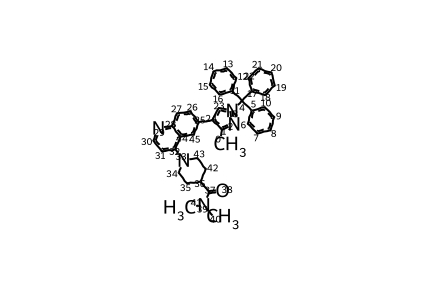 Cc1nn(C(c2ccccc2)(c2ccccc2)c2ccccc2)cc1-c1ccc2nccc(N3CCC(C(=O)N(C)C)CC3)c2c1